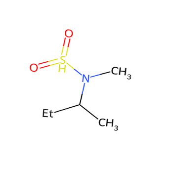 CCC(C)N(C)[SH](=O)=O